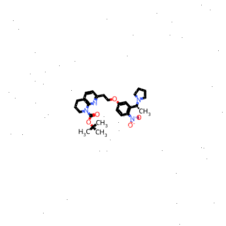 C[C@@H](c1cc(OCCc2ccc3c(n2)N(C(=O)OC(C)(C)C)CCC3)ccc1[N+](=O)[O-])N1CCCC1